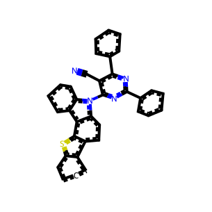 N#Cc1c(-c2ccccc2)nc(-c2ccccc2)nc1-n1c2ccccc2c2c3sc4ccccc4c3ccc21